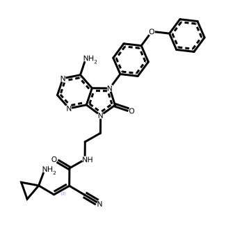 N#C/C(=C/C1(N)CC1)C(=O)NCCn1c(=O)n(-c2ccc(Oc3ccccc3)cc2)c2c(N)ncnc21